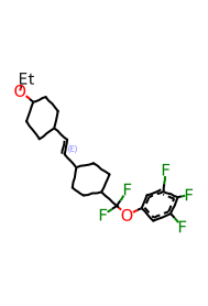 CCOC1CCC(/C=C/C2CCC(C(F)(F)Oc3cc(F)c(F)c(F)c3)CC2)CC1